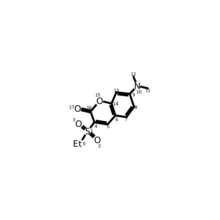 CCS(=O)(=O)c1cc2ccc(N(C)C)cc2oc1=O